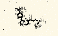 CC(C)OC(=O)N(C)CCNc1ccn2ncc(-c3ccc(C(N)=O)cc3)c2n1